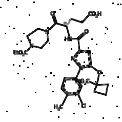 CCOC(=O)N1CCN(C(=O)[C@H](CCC(=O)O)NC(=O)c2cc(OC3(C(=O)OCC)CCC3)n(-c3ccc(C)c(Cl)c3)n2)CC1